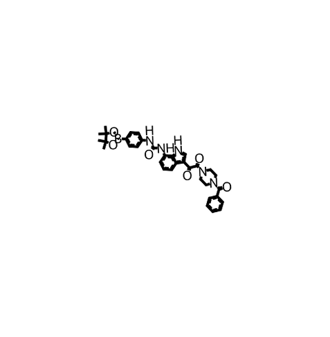 CC1(C)OB(c2ccc(NC(=O)Nc3cccc4c(C(=O)C(=O)N5CCN(C(=O)c6ccccc6)CC5)c[nH]c34)cc2)OC1(C)C